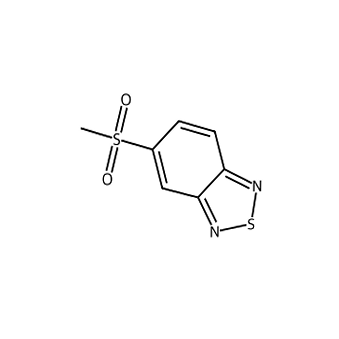 CS(=O)(=O)c1ccc2nsnc2c1